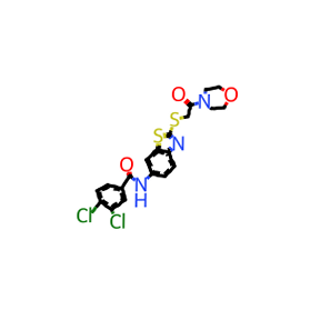 O=C(Nc1ccc2nc(SCC(=O)N3CCOCC3)sc2c1)c1ccc(Cl)c(Cl)c1